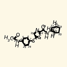 CC(=O)Nc1ccc(Sc2cnc(C(=O)N[C@@H]3C[C@H]4CC[C@@H]3N4)s2)cc1